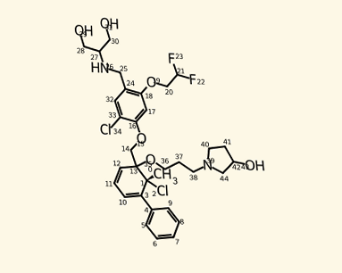 C[C@@]1(Cl)C(c2ccccc2)=CC=CC1(COc1cc(OCC(F)F)c(CNC(CO)CO)cc1Cl)OCCCN1CCC(O)C1